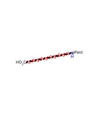 CCCCCNCCOCCOCCOCCOCCOCCOCCOCCOCCOCCOCCC(=O)O